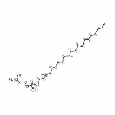 CCCCCCCCCCCCCCCCCCNCCOP(=O)(O)OCCN(C)C